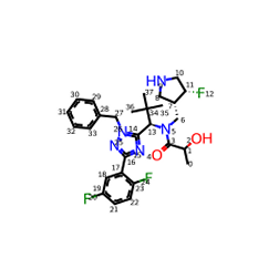 CC(O)C(=O)N(C[C@@H]1CNC[C@@H]1F)[C@@H](c1nc(-c2cc(F)ccc2F)nn1Cc1ccccc1)C(C)(C)C